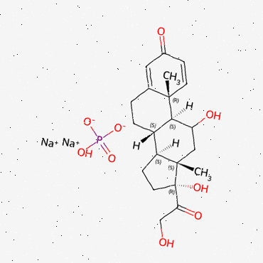 C[C@]12C=CC(=O)C=C1CC[C@@H]1[C@@H]2C(O)C[C@@]2(C)[C@H]1CC[C@]2(O)C(=O)CO.O=P([O-])([O-])O.[Na+].[Na+]